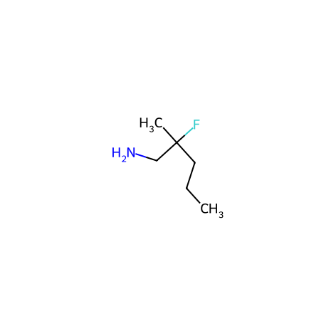 CCCC(C)(F)CN